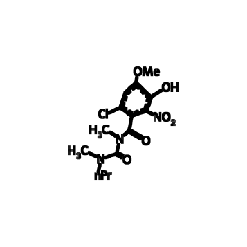 CCCN(C)C(=O)N(C)C(=O)c1c(Cl)cc(OC)c(O)c1[N+](=O)[O-]